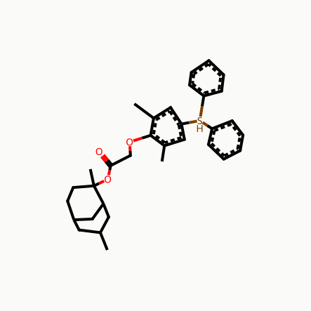 Cc1cc([SH](c2ccccc2)c2ccccc2)cc(C)c1OCC(=O)OC1(C)CCC2CC(C)CC1C2